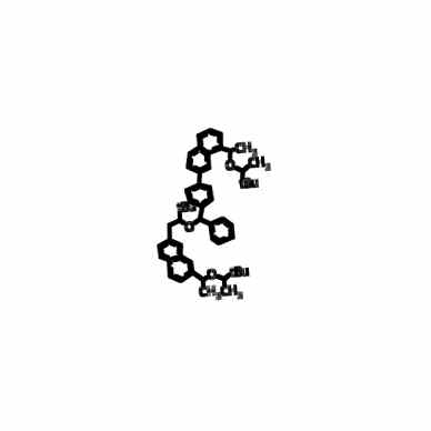 CC(OC(C)C(C)(C)C)c1ccc2ccc(CC(OC(c3ccccc3)c3ccc(-c4ccc5cccc(C(C)OC(C)C(C)(C)C)c5c4)cc3)C(C)(C)C)cc2c1